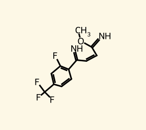 COC(=N)/C=C\C(=N)c1ccc(C(F)(F)F)cc1F